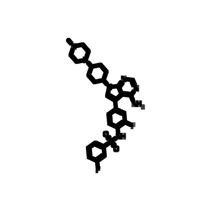 CN1CCN(C2CCC(n3cc(-c4ccc(NS(=O)(=O)c5cccc(F)c5)c(F)c4)c4c(N)ncnc43)CC2)CC1